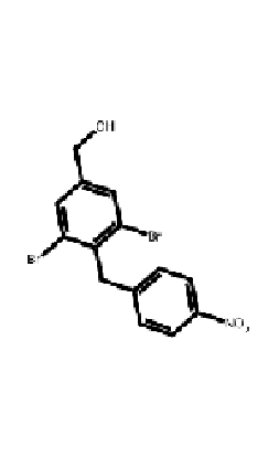 O=[N+]([O-])c1ccc(Cc2c(Br)cc(CO)cc2Br)cc1